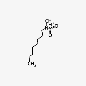 CCCCCCCCN(C)[SH](=O)=O